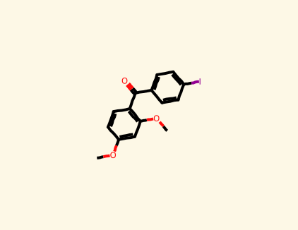 COc1ccc(C(=O)c2ccc(I)cc2)c(OC)c1